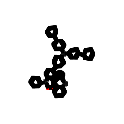 c1ccc(-c2ccc(N(c3ccc(-c4ccccc4)cc3)c3ccc(-c4ccc5c(c4)C4(c6ccccc6Oc6ccccc64)c4ccccc4N5c4ccccc4)cc3)cc2)cc1